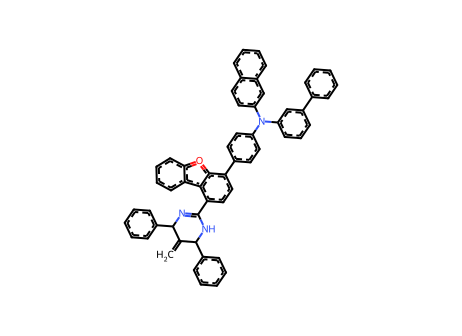 C=C1C(c2ccccc2)N=C(c2ccc(-c3ccc(N(c4cccc(-c5ccccc5)c4)c4ccc5ccccc5c4)cc3)c3oc4ccccc4c23)NC1c1ccccc1